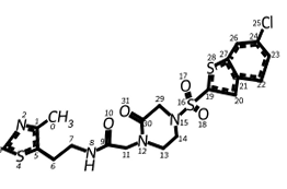 Cc1ncsc1CCNC(=O)CN1CCN(S(=O)(=O)c2cc3ccc(Cl)cc3s2)CC1=O